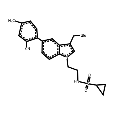 Cc1ccc(-c2ccc3c(c2)c(CC(C)(C)C)cn3CCNS(=O)(=O)C2CC2)c(C#N)c1